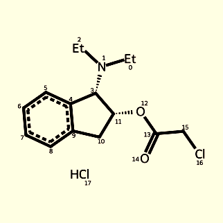 CCN(CC)[C@H]1c2ccccc2C[C@H]1OC(=O)CCl.Cl